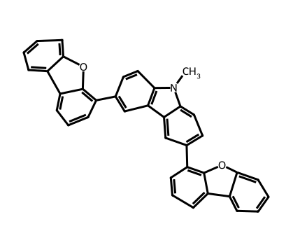 Cn1c2ccc(-c3cccc4c3oc3ccccc34)cc2c2cc(-c3cccc4c3oc3ccccc34)ccc21